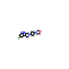 Fc1ccc2[nH]c3c(c2c1)CCN(c1ccc(N2CCOCC2)cc1)C3